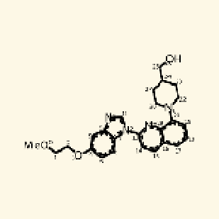 COCCOc1ccc2c(c1)ncn2-c1ccc2cccc(N3CCC(CO)CC3)c2n1